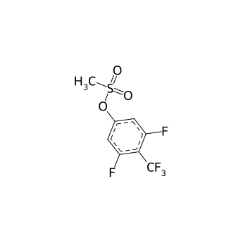 CS(=O)(=O)Oc1cc(F)c(C(F)(F)F)c(F)c1